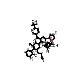 CC(C)(O)c1ccc(-c2nc3c(F)c(-c4cccc(Cl)c4Cl)c(CCC#N)cc3c3c2cc([C@H]2C[C@H](F)CN2C(=O)O)n3[C@H]2[C@H]3CN[C@@H]2C3)cn1